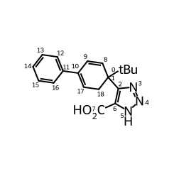 CC(C)(C)C1(c2nn[nH]c2C(=O)O)C=CC(c2ccccc2)=CC1